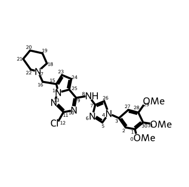 COc1cc(-n2cnc(Nc3nc(Cl)nn4c(CN5CCCCC5)ccc34)c2)cc(OC)c1OC